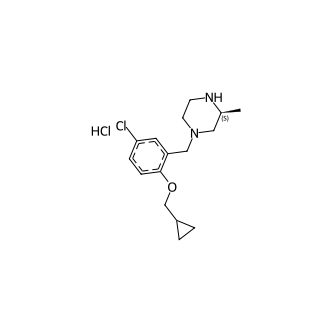 C[C@H]1CN(Cc2cc(Cl)ccc2OCC2CC2)CCN1.Cl